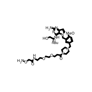 CCCC[C@@H](CO)Nc1nc(N)nc2ccn(Cc3cc(CN4CCN(C(=O)CCOCCOCCNC(=O)CON)CC4)ccc3OC)c12